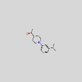 CC(=O)C1CCN(c2cccc(C(C)C)c2)CC1